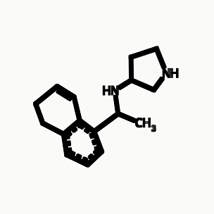 CC(NC1CCNC1)c1cccc2c1C=CCC2